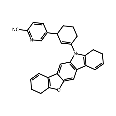 N#Cc1ccc(C2C=C(n3c4c(c5cc6oc7c(c6cc53)C=CCC7)C=CCC4)CCC2)cn1